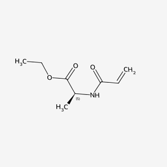 C=CC(=O)N[C@@H](C)C(=O)OCC